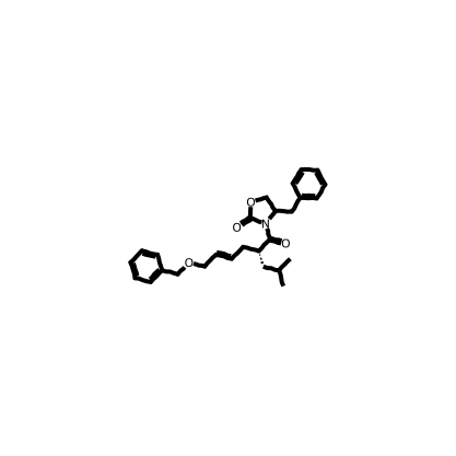 CC(C)C[C@H](CC=CCOCc1ccccc1)C(=O)N1C(=O)OCC1Cc1ccccc1